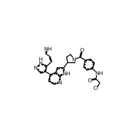 N=C/C=C\c1[nH]ncc1-c1ccnc2[nH]c(C3CCN(C(=O)c4ccc(NC(=O)CCl)cc4)C3)cc12